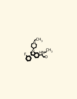 CCNC(C=O)c1ccc2ccn(C3CCN(CC)CC3)c2c1.Fc1ccccc1